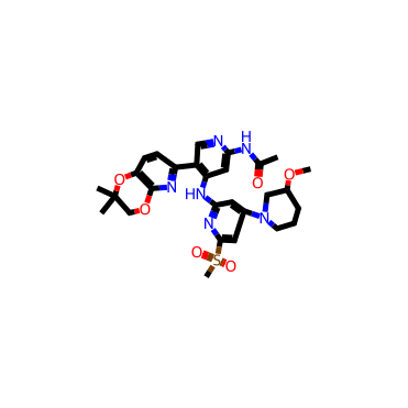 COC1CCCN(c2cc(Nc3cc(NC(C)=O)ncc3-c3ccc4c(n3)OCC(C)(C)O4)nc(S(C)(=O)=O)c2)C1